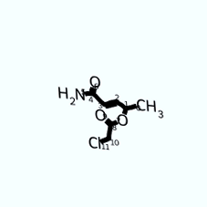 CC(C=CC(N)=O)OC(=O)CCl